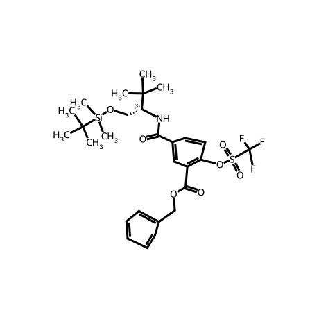 CC(C)(C)[C@@H](CO[Si](C)(C)C(C)(C)C)NC(=O)c1ccc(OS(=O)(=O)C(F)(F)F)c(C(=O)OCc2ccccc2)c1